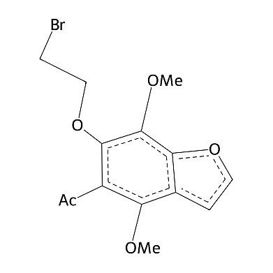 COc1c(C(C)=O)c(OCCBr)c(OC)c2occc12